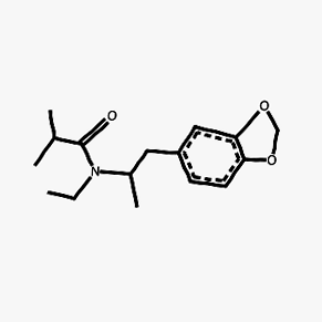 CCN(C(=O)C(C)C)C(C)Cc1ccc2c(c1)OCO2